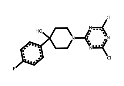 OC1(c2ccc(F)cc2)CCN(c2nc(Cl)nc(Cl)n2)CC1